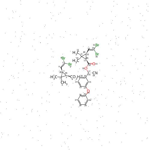 CC1(C)[C@H](C(=O)O)[C@@H]1C=C(Br)Br.CC1(C)[C@H](C(=O)O[C@H](C#N)c2cccc(Oc3ccccc3)c2)[C@@H]1C=C(Br)Br